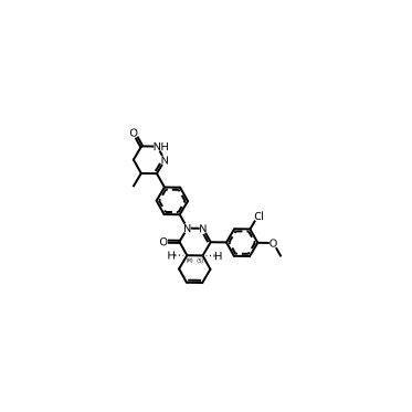 COc1ccc(C2=NN(c3ccc(C4=NNC(=O)CC4C)cc3)C(=O)[C@@H]3CC=CC[C@H]23)cc1Cl